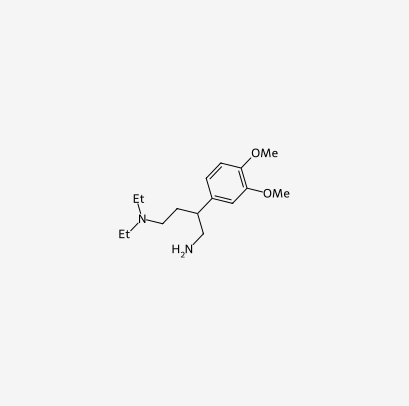 CCN(CC)CCC(CN)c1ccc(OC)c(OC)c1